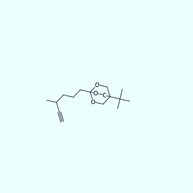 C#CC(C)CCCC12OCC(C(C)(C)C)(CO1)CO2